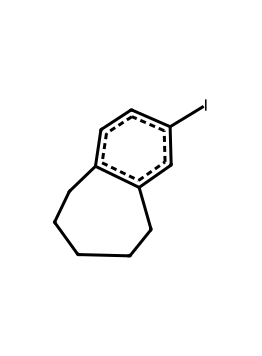 Ic1ccc2c(c1)CCCCC2